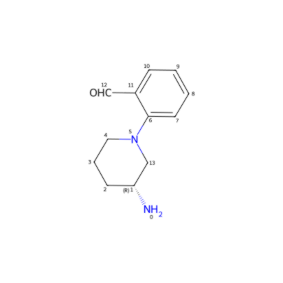 N[C@@H]1CCCN(c2ccccc2C=O)C1